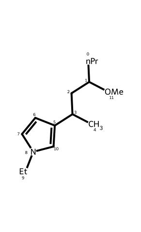 CCCC(CC(C)c1ccn(CC)c1)OC